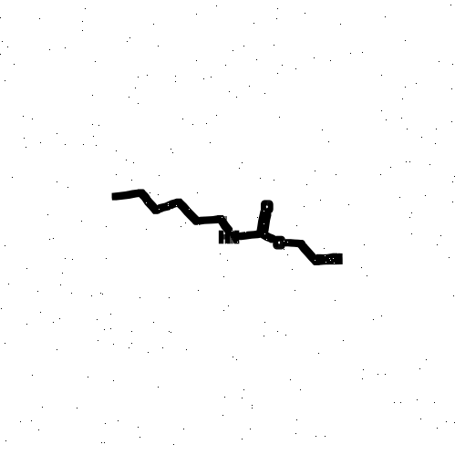 C=CCOC(=O)N[CH]CCCCC